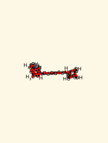 COc1cc2c(cc1-c1cccc(C(=O)NCCOCCOCCOCCOCCOCCOCCNC(=O)CN3CCN(CC(=O)O)CCN(CC(=O)O)CCN(CC(=O)O)CC3)c1)-c1c(c(C(=O)N(C)C(C)(C)C)nn1-c1cc(Cl)cc(Cl)c1)CO2